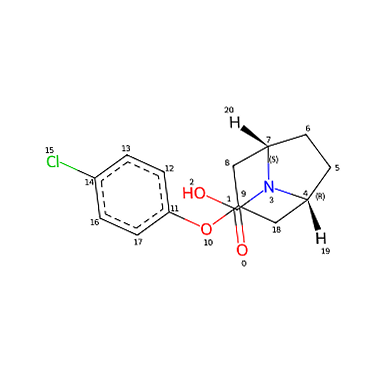 O=C(O)N1[C@@H]2CC[C@H]1CC(Oc1ccc(Cl)cc1)C2